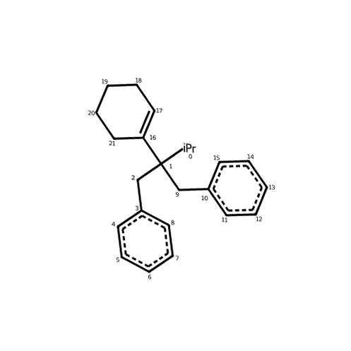 CC(C)C(Cc1ccccc1)(Cc1ccccc1)C1=CCCCC1